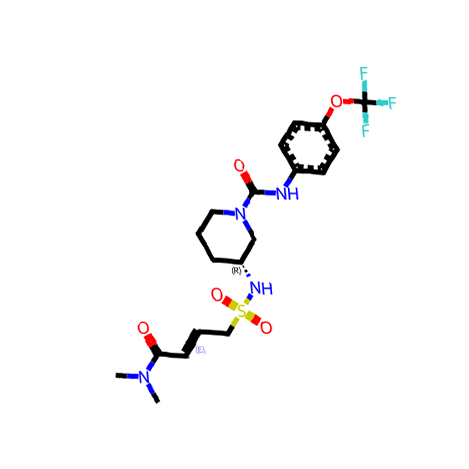 CN(C)C(=O)/C=C/CS(=O)(=O)N[C@@H]1CCCN(C(=O)Nc2ccc(OC(F)(F)F)cc2)C1